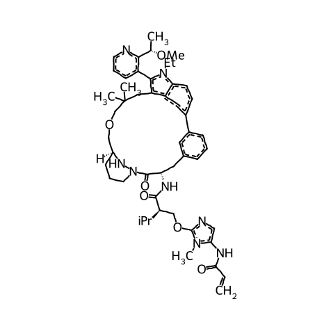 C=CC(=O)Nc1cnc(OC[C@H](C(=O)N[C@H]2Cc3cccc(c3)-c3ccc4c(c3)c(c(-c3cccnc3[C@H](C)OC)n4CC)CC(C)(C)COC[C@@H]3CCCN(N3)C2=O)C(C)C)n1C